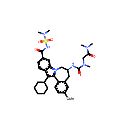 COc1ccc2c(c1)C[C@H](NC(=O)N(C)CC(=O)N(C)C)Cn1c-2c(C2CCCCC2)c2ccc(C(=O)NS(=O)(=O)N(C)C)cc21